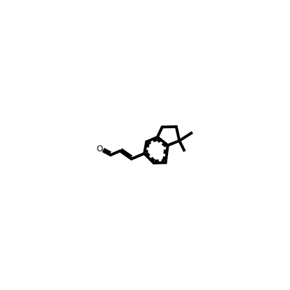 CC1(C)CCc2cc(C=CC=O)ccc21